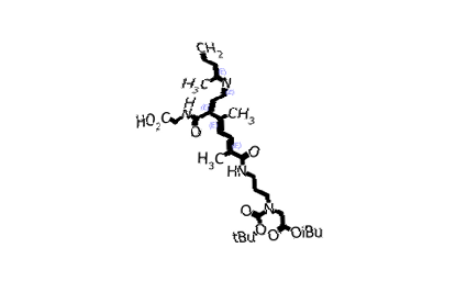 C=C/C=C(C)/N=C\C=C(C(=O)NCC(=O)O)/C(C)=C/C=C(\C)C(=O)NCCCN(CC(=O)OCC(C)C)C(=O)OC(C)(C)C